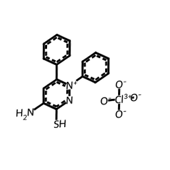 Nc1cc(-c2ccccc2)[n+](-c2ccccc2)nc1S.[O-][Cl+3]([O-])([O-])[O-]